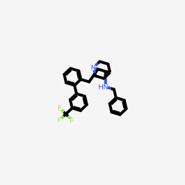 FC(F)(F)c1cccc(-c2ccccc2CC2C(NCc3ccccc3)C3CCN2CC3)c1